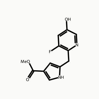 COC(=O)c1c[nH]c(Cc2ncc(O)cc2F)c1